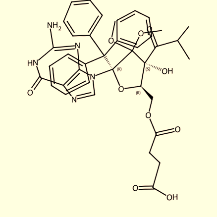 COC1(OC)[C@@](n2cnc3c(=O)[nH]c(N)nc32)(C(c2ccccc2)(c2ccccc2)c2ccccc2)O[C@H](COC(=O)CCC(=O)O)[C@]1(O)C(=O)C(C)C